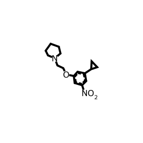 O=[N+]([O-])c1cc(OCCN2CCCCC2)cc(C2CC2)c1